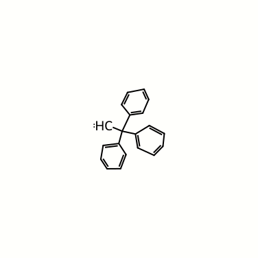 [CH]C(c1ccccc1)(c1ccccc1)c1ccccc1